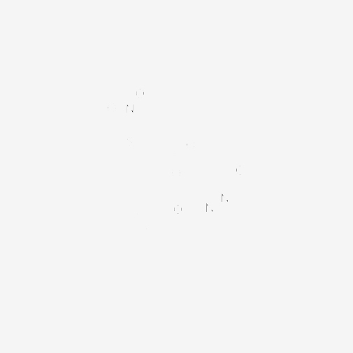 Cc1cccc(C2CC2)c1Oc1nnc(Cl)cc1OC(=O)c1csc([N+](=O)[O-])c1